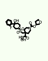 O=C(OC1CCOC1)N1CCC(CS(=O)(=O)N2CCC(O)(c3ccccc3F)CC2)(C(=O)NO)CC1